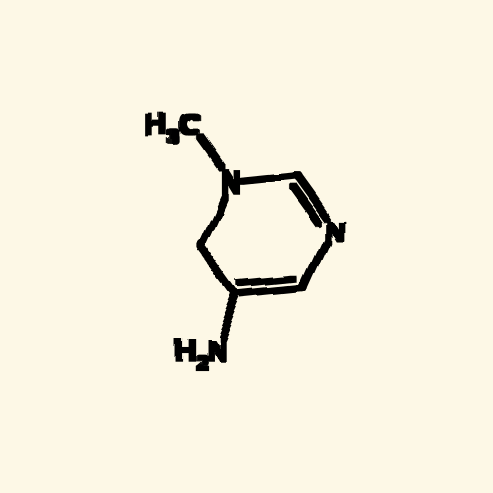 CN1C=NC=C(N)C1